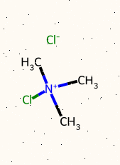 C[N+](C)(C)Cl.[Cl-]